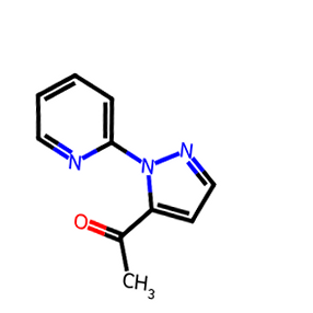 CC(=O)c1ccnn1-c1ccccn1